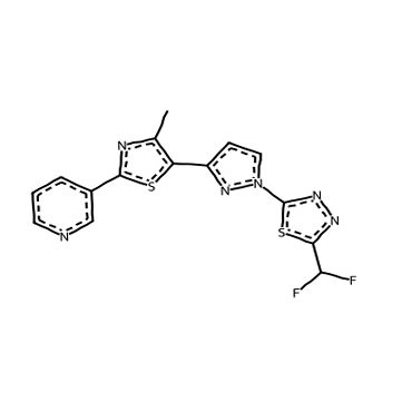 Cc1nc(-c2cccnc2)sc1-c1ccn(-c2nnc(C(F)F)s2)n1